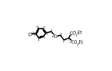 CCOC(=O)C(CCOCc1ccc(Cl)cc1)C(=O)OCC